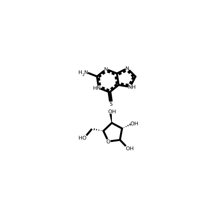 Nc1nc2nc[nH]c2c(=S)[nH]1.OC[C@H]1OC(O)[C@@H](O)[C@@H]1O